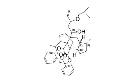 C=CC(C[C@@H](O)C12C[C@@H]3[C@H](C)CC[C@H]3C3(C4OCCO4)CC1C=C(C(C)C)C23C(=O)OC(c1ccccc1)c1ccccc1)OCC(C)C